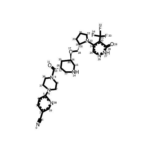 N#Cc1ccc(N2CCN(C(=O)[C@H]3CNC[C@H](OC[C@@H]4CCCN4c4cn[nH]c(=O)c4C(F)(F)F)C3)CC2)nc1